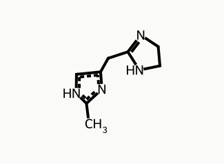 Cc1nc(CC2=NCCN2)c[nH]1